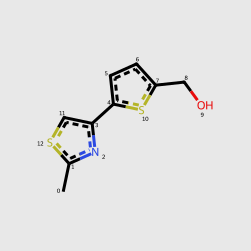 Cc1nc(-c2ccc(CO)s2)cs1